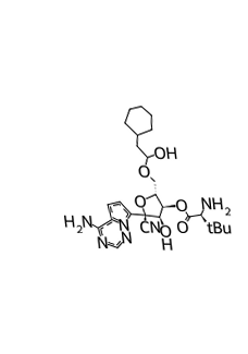 CC(C)(C)[C@H](N)C(=O)O[C@H]1[C@@H](O)[C@](C#N)(c2ccc3c(N)ncnn23)O[C@@H]1COC(O)CC1CCCCC1